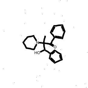 CC(C(=O)c1ccccc1)(C(O)c1ccccc1)N1CCCCC1